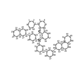 c1ccc(-c2cccc3c2sc2c(N(c4ccc(-c5ccc6ccccc6c5)cc4)c4cccc(-c5cccc(-c6ccc7c(ccc8ccccc87)c6)c5)c4)cccc23)cc1